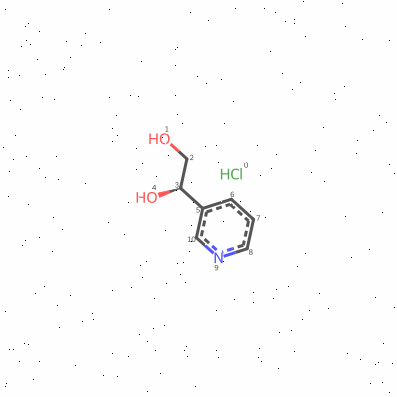 Cl.OC[C@H](O)c1cccnc1